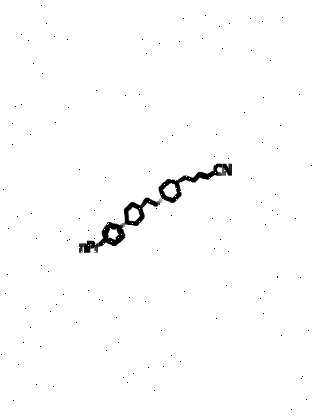 CCCc1ccc([C@H]2CC[C@H](CC[C@H]3CC[C@H](CCC=CC#N)CC3)CC2)cc1